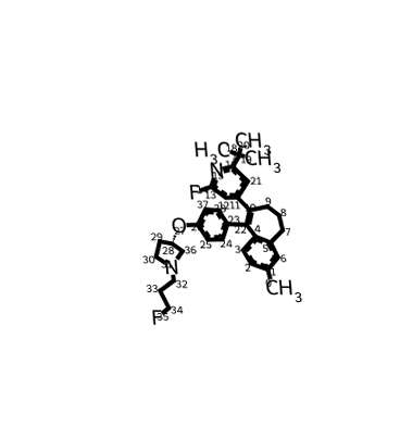 Cc1ccc2c(c1)CCCC(c1cc(F)nc(C(C)(C)C)c1)=C2c1ccc(O[C@H]2CCN(CCCF)C2)cc1